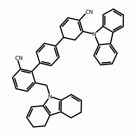 N#CC1=C(n2c3ccccc3c3ccccc32)CC(c2ccc(-c3c(C#N)cccc3Cn3c4c(c5c3C=CCC5)CCC=C4)cc2)C=C1